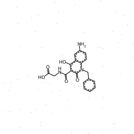 Nc1ccc2c(c1)c(O)c(C(=O)NCC(=O)O)c(=O)n2Cc1ccccc1